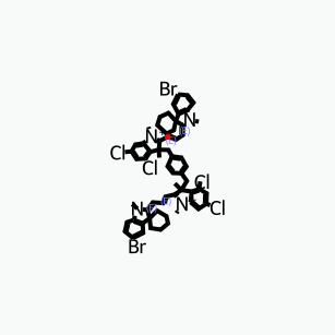 CN1/C(=C/C=C/C2=[N+](C)c3cc(Cl)cc(Cl)c3C2(C)Cc2ccc(CC3(C)C(/C=C/C=C4/N(C)c5ccc(Br)cc5C45CCCCC5)=[N+](C)c4cc(Cl)cc(Cl)c43)cc2)C2(CCCCC2)c2cc(Br)ccc21